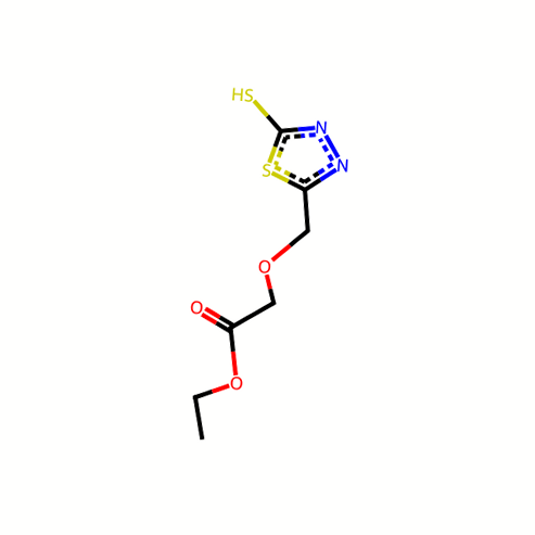 CCOC(=O)COCc1nnc(S)s1